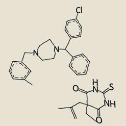 C=C(C)CC1(CC)C(=O)NC(=S)NC1=O.Cc1cccc(CN2CCN(C(c3ccccc3)c3ccc(Cl)cc3)CC2)c1